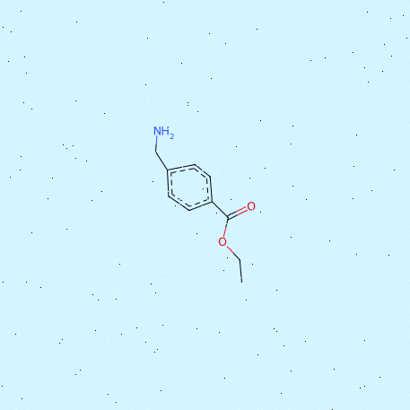 CCOC(=O)c1ccc(CN)cc1